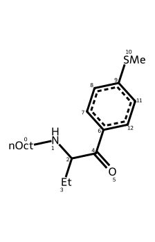 CCCCCCCCNC(CC)C(=O)c1ccc(SC)cc1